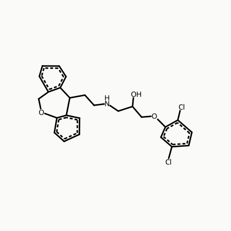 OC(CNCCC1c2ccccc2COc2ccccc21)COc1cc(Cl)ccc1Cl